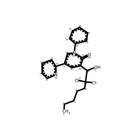 CCCCCC(Cl)(Cl)C(O)c1cc(-c2ccccn2)cn(-c2ccccc2)c1=O